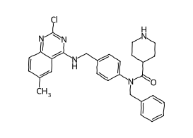 Cc1ccc2nc(Cl)nc(NCc3ccc(N(Cc4ccccc4)C(=O)C4CCNCC4)cc3)c2c1